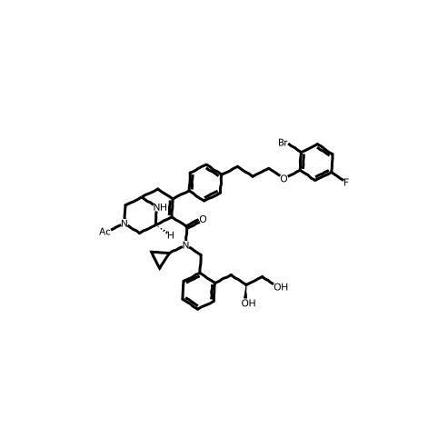 CC(=O)N1CC2CC(c3ccc(CCCOc4cc(F)ccc4Br)cc3)=C(C(=O)N(Cc3ccccc3C[C@H](O)CO)C3CC3)[C@@H](C1)N2